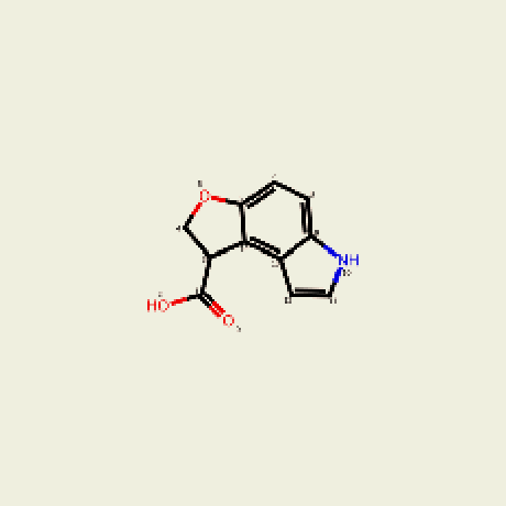 O=C(O)C1COc2ccc3[nH]ccc3c21